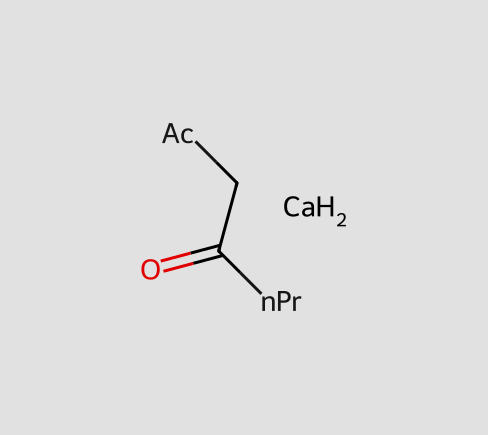 CCCC(=O)CC(C)=O.[CaH2]